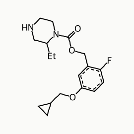 CCC1CNCCN1C(=O)OCc1cc(OCC2CC2)ccc1F